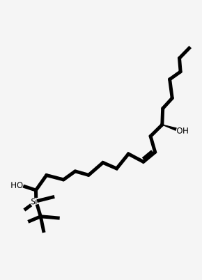 CCCCCC[C@@H](O)C/C=C\CCCCCCCC(O)[Si](C)(C)C(C)(C)C